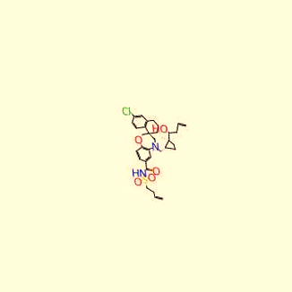 C=CCCS(=O)(=O)NC(=O)c1ccc2c(c1)N(C[C@H]1CC[C@]1(C)[C@@H](O)CC=C)C[C@@]1(CCCc3cc(Cl)ccc31)CO2